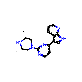 C[C@@H]1CN(c2nccc(-c3c[nH]c4ncccc34)n2)C[C@H](C)N1